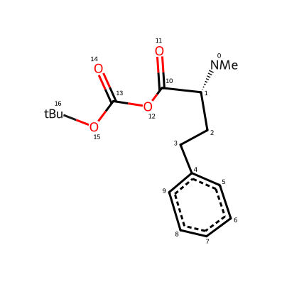 CN[C@H](CCc1ccccc1)C(=O)OC(=O)OC(C)(C)C